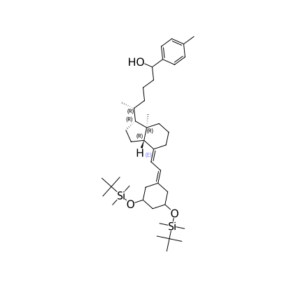 Cc1ccc(C(O)CCC[C@@H](C)[C@H]2CC[C@H]3/C(=C/C=C4CC(O[Si](C)(C)C(C)(C)C)CC(O[Si](C)(C)C(C)(C)C)C4)CCC[C@]23C)cc1